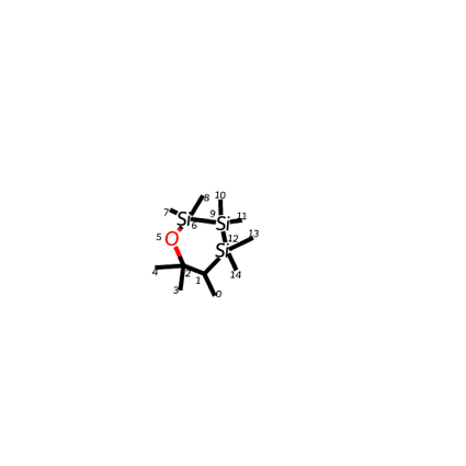 CC1C(C)(C)O[Si](C)(C)[Si](C)(C)[Si]1(C)C